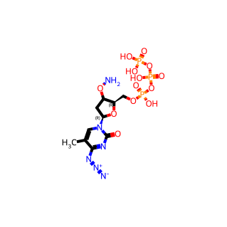 Cc1cn([C@H]2CC(ON)[C@@H](COP(=O)(O)OP(=O)(O)OP(=O)(O)O)O2)c(=O)nc1N=[N+]=[N-]